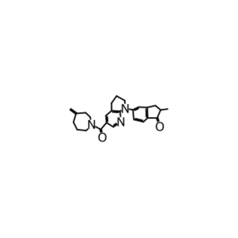 C=C1CCCN(C(=O)c2cnc3c(c2)CCCN3c2ccc3c(c2)CC(C)C3=O)CC1